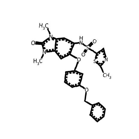 Cc1ncc(S(=O)(=O)Nc2cc3c(cc2Oc2cccc(OCc4ccccc4)c2)n(C)c(=O)n3C)s1